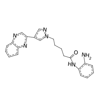 Nc1ccccc1NC(=O)CCCCn1cc(-c2cnc3ccccc3n2)cn1